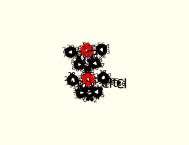 CC1(C)c2cccc(P(c3ccccc3)c3ccccc3)c2Oc2c(P(c3ccccc3)c3ccccc3)cccc21.CC1(C)c2cccc(P(c3ccccc3)c3ccccc3)c2Oc2c(P(c3ccccc3)c3ccccc3)cccc21.[Cl][Pt][Cl]